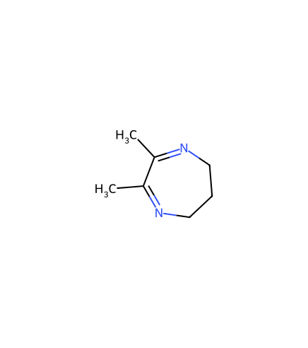 CC1=NCCCN=C1C